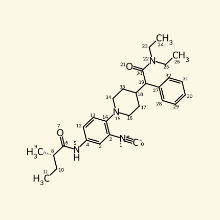 [C-]#[N+]c1cc(NC(=O)[C@@H](C)CC)ccc1N1CCC(C(C(=O)N(CC)CC)c2ccccc2)CC1